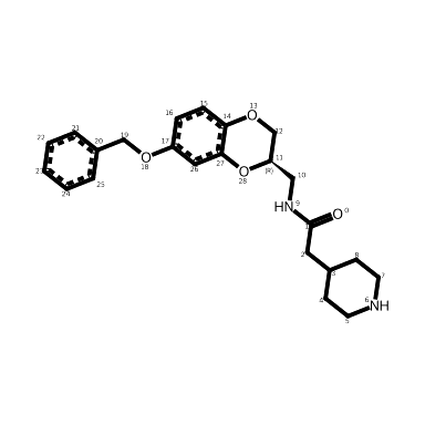 O=C(CC1CCNCC1)NC[C@@H]1COc2ccc(OCc3ccccc3)cc2O1